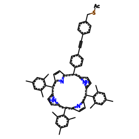 CC(=O)SCc1ccc(C#Cc2ccc(-c3c4nc(c(-c5c(C)cc(C)cc5C)c5ccc([nH]5)c(-c5c(C)cc(C)cc5C)c5nc(c(-c6c(C)cc(C)cc6C)c6ccc3[nH]6)C=C5)C=C4)cc2)cc1